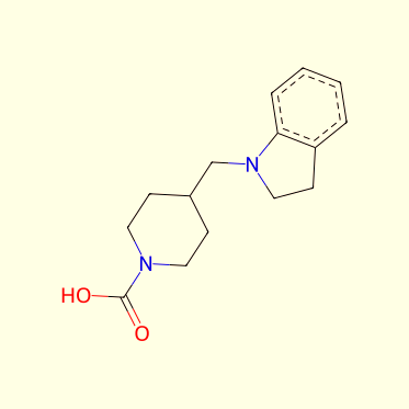 O=C(O)N1CCC(CN2CCc3ccccc32)CC1